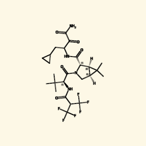 CC(C)(C)[C@H](NC(=O)C(C(F)(F)F)C(F)(F)F)C(=O)N1C[C@H]2[C@@H]([C@H]1C(=O)NC(CC1CC1)C(=O)C(N)=O)C2(C)C